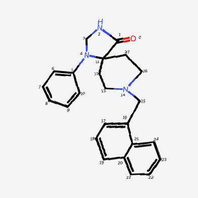 O=C1NCN(c2ccccc2)C12CCN(Cc1cccc3ccccc13)CC2